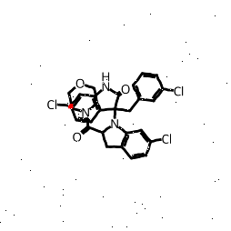 O=C(C1Cc2ccc(Cl)cc2N1C1(Cc2cccc(Cl)c2)C(=O)Nc2cc(Cl)ccc21)N1CCOCC1